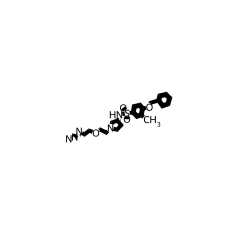 Cc1cc(S(=O)(=O)N[C@H]2CCN(CCOCCN=[N+]=[N-])C2)ccc1OCc1ccccc1